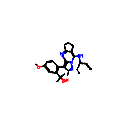 CCC(CC)Nc1c2c(nc3c(-c4ccc(OC)cc4C(C)(C)O)c(C)nn13)CCC2